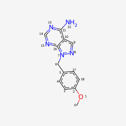 COc1ccc(Cn2ncc3c(N)ncnc32)cc1